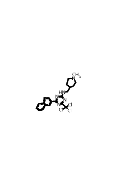 CN1CCC(CNc2nc(-c3ccc4ccccc4c3)nc(C(Cl)(Cl)Cl)n2)CC1